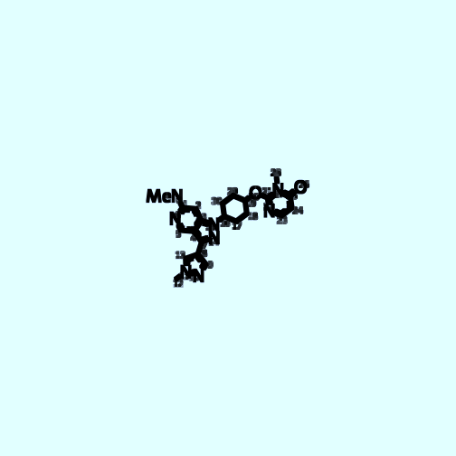 CNc1cc2c(cn1)c(-c1cnn(C)c1)nn2C1CCC(Oc2nccc(=O)n2C)CC1